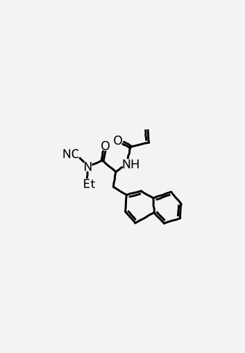 C=CC(=O)NC(Cc1ccc2ccccc2c1)C(=O)N(C#N)CC